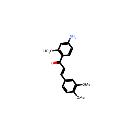 COc1ccc(C=CC(=O)c2ccc(N)cc2C(=O)O)cc1OC